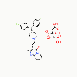 Cc1nc2ccccn2c(=O)c1CCN1CCC(=C(c2ccc(F)cc2)c2ccc(F)cc2)CC1.O=C(O)CC(O)(CC(=O)O)C(=O)O